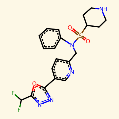 O=S(=O)(C1CCNCC1)N(Cc1ccc(-c2nnc(C(F)F)o2)cn1)c1ccccc1